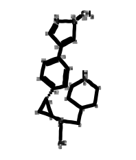 CC(=O)N(CC1CCNCC1)[C@H]1C[C@@H]1c1ccc(-c2cnn(C)c2)cc1